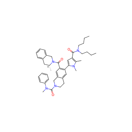 CCCCN(CCCC)C(=O)c1cc(-c2cc3c(cc2C(=O)N2Cc4ccccc4C[C@H]2C)CN(C(=O)N(C)c2ccccc2)CC3)n(C)c1C